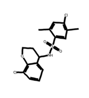 Cc1cc(S(=O)(=O)NC2CCOc3c(Cl)cccc32)c(C)cc1Cl